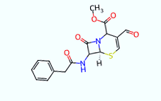 COC(=O)C1C(C=O)=CS[C@H]2C(NC(=O)Cc3ccccc3)C(=O)N12